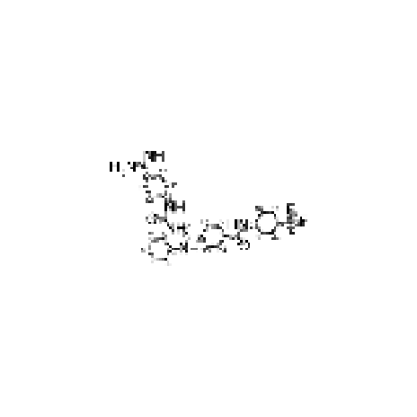 CC(Nc1ccccc1NC(=O)Nc1ccc(C(=N)N)cc1)c1ccc(C(=O)Nc2ccc(C(F)(F)F)cc2)cc1